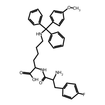 COc1ccc(C(NCCCCC(NC(=O)C(N)Cc2ccc(F)cc2)C(=O)O)(c2ccccc2)c2ccccc2)cc1